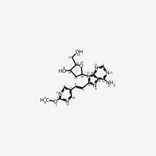 COc1ncc(/C=C/c2nc3c(N)ncnc3n2C2CC(O)C(CO)O2)cn1